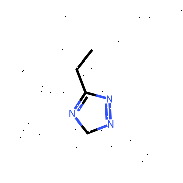 CCC1=NCN=N1